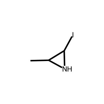 CC1NC1I